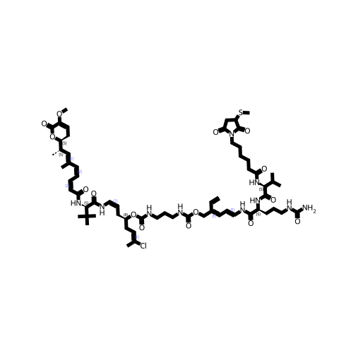 C=C/C(=C\C=C\NC(=O)[C@H](CCCNC(N)=O)NC(=O)[C@@H](NC(=O)CCCCCN1C(=O)CC(SC)C1=O)C(C)C)COC(=O)NCCCNC(=O)O[C@H](C/C=C\NC(=O)[C@@H](NC(=O)\C=C/C=C\C(C)=C\[C@H](C)[C@@H]1CC=C(OC)C(=O)O1)C(C)(C)C)C/C=C(\C)Cl